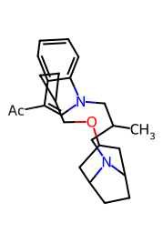 CC(=O)c1cn(CC(C)CN2C3CCC2CC(OCC2CC2)C3)c2ccccc12